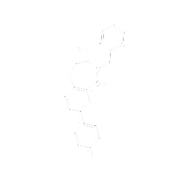 COc1cccnc1CN1CCOc2cnc(-c3ccc(OC(F)(F)F)cc3)cc2C1=O